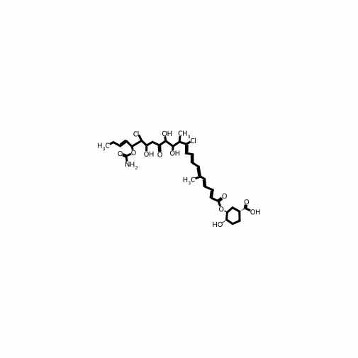 CC/C=C/C(OC(N)=O)C(Cl)C(O)CC(=O)C(O)C(O)C(C)/C(Cl)=C/C=C/C=C(C)/C=C/C=C/C(=O)O[C@@H]1C[C@H](C(=O)O)CC[C@@H]1O